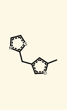 Cc1cc(Cc2nccs2)co1